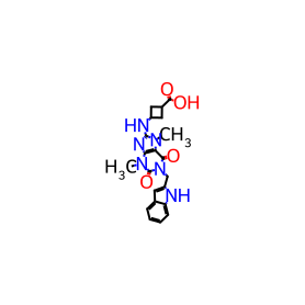 Cn1c(NC2CC(C(=O)O)C2)nc2c1c(=O)n(Cc1cc3ccccc3[nH]1)c(=O)n2C